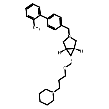 Cc1ccccc1-c1ccc(CN2C[C@@H]3[C@H](COCCCN4CCCCC4)[C@@H]3C2)cc1